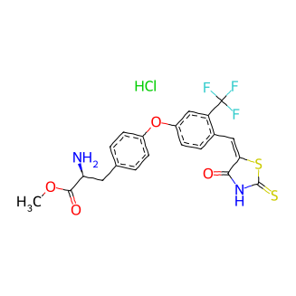 COC(=O)[C@@H](N)Cc1ccc(Oc2ccc(/C=C3/SC(=S)NC3=O)c(C(F)(F)F)c2)cc1.Cl